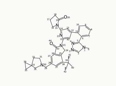 Cn1cnnc1-c1ccccc1-c1cc(N2CCCC2=O)nc(N2Cc3c(cc(CN4CCC5(CC5)C4)cc3C(C)(F)F)C2=O)c1